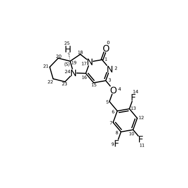 O=c1nc(OCc2cc(F)c(F)cc2F)cc2n1C[C@@H]1CCCCN21